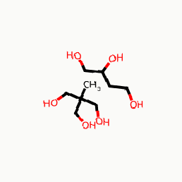 CC(CO)(CO)CO.OCCC(O)CO